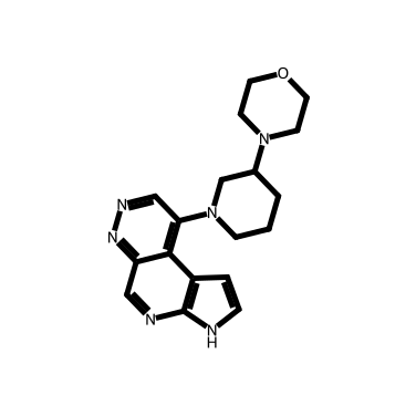 c1cc2c(ncc3nncc(N4CCCC(N5CCOCC5)C4)c32)[nH]1